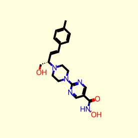 Cc1ccc(/C=C/[C@@H](CO)N2CCN(c3ncc(C(=O)NO)cn3)CC2)cc1